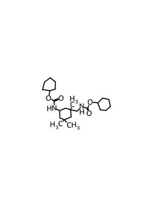 CC1(C)CC(NC(=O)OC2CCCCC2)CC(C)(CNC(=O)OC2CCCCC2)C1